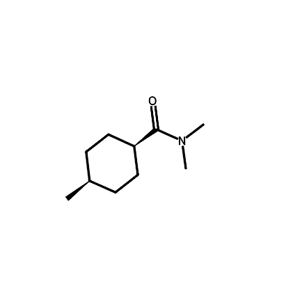 CN(C)C(=O)[C@H]1CC[C@@H](C)CC1